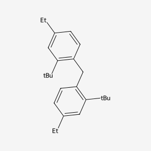 CCc1ccc(Cc2ccc(CC)cc2C(C)(C)C)c(C(C)(C)C)c1